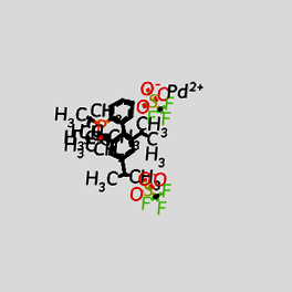 CC(C)c1cc(C(C)C)c(-c2ccccc2P(C(C)(C)C)C(C)(C)C)c(C(C)C)c1.O=S(=O)([O-])C(F)(F)F.O=S(=O)([O-])C(F)(F)F.[Pd+2]